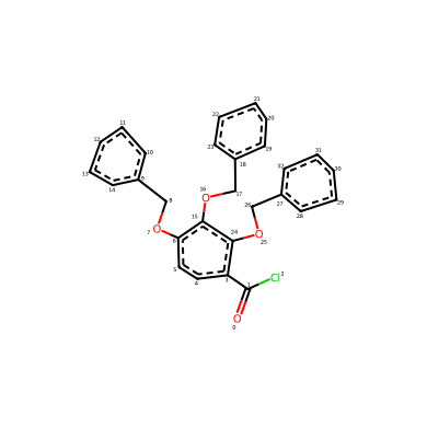 O=C(Cl)c1ccc(OCc2ccccc2)c(OCc2ccccc2)c1OCc1ccccc1